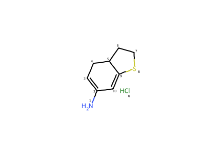 Cl.NC1=CCC2CCSC2=C1